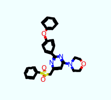 O=S(=O)(Cc1cc(N2CCOCC2)nc(-c2ccc(Oc3ccccc3)cc2)n1)c1ccccc1